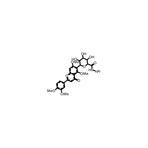 CCCNC(=O)C1OC(c2c(OC)cc3oc(-c4ccc(OC)c(OC)c4)cc(=O)c3c2OC)C(O)C(O)C1O